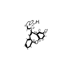 O=C(O)CSC1=Cc2ccccc2Oc2ccc(Cl)cc21